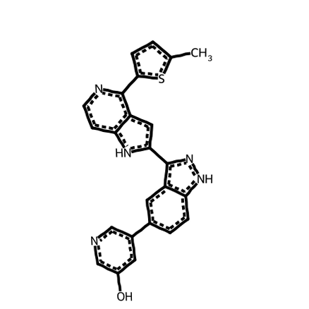 Cc1ccc(-c2nccc3[nH]c(-c4n[nH]c5ccc(-c6cncc(O)c6)cc45)cc23)s1